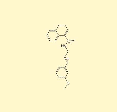 COc1cccc(/C=C/CN[C@H](C)c2cccc3ccccc23)c1